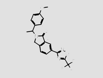 COc1ccc(C(C)N2Cc3ccc(-c4noc(C(F)(F)F)n4)cc3C2=O)cc1